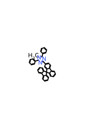 CN1C(c2ccccc2)=NC(c2ccc3c(c2)C2(c4ccccc4-c4ccccc42)c2ccccc2-3)=NC1c1ccccc1